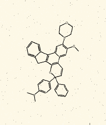 COc1cc2c3c(c4c(c2cc1N1CCOCC1)-c1ccccc1C4)OC(c1ccccc1)(c1ccc(N(C)C)cc1)C=C3